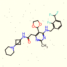 Cc1nc(CC(=O)NC23CC(N4CCCCC4)(C2)C3)c(C2OCCO2)c(NCc2cccc(C(F)F)c2F)n1